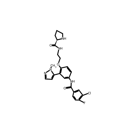 Cn1nccc1-c1cc(NC(=O)c2ccc(F)c(Cl)c2)ccc1OCCNC(=O)[C@H]1CCCN1